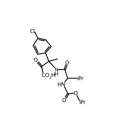 CC(C)OC(=O)NC(C(=O)NC(C)(C(=O)C(=O)O)c1ccc(Cl)cc1)C(C)C